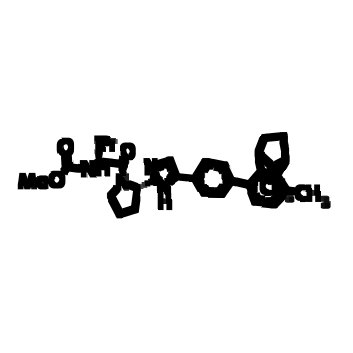 COC(=O)N[C@H](C(=O)N1CCC[C@H]1c1ncc(-c2ccc(-c3ccc(C)c4c3C3CCC4C3C)cc2)[nH]1)C(C)C